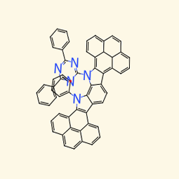 C1=CC2=c3c(n(-c4nc(-c5ccccc5)nc(-c5ccccc5)n4)c4c3ccc3c5c6cccc7ccc8cccc(c8c76)c5n(-c5ccccc5)c34)=C3C=CC=C4C=CC(=C1)C2C43